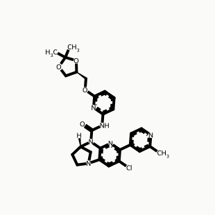 Cc1cc(-c2nc3c(cc2Cl)N2CC[C@@H](C2)N3C(=O)Nc2cccc(OC[C@H]3COC(C)(C)O3)n2)ccn1